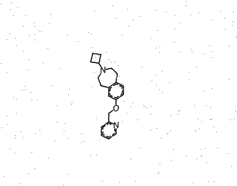 c1ccc(COc2ccc3c(c2)CCN(C2CCC2)CC3)nc1